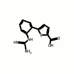 N=C(N)Nc1ccccc1-c1ccc(C(=O)O)s1